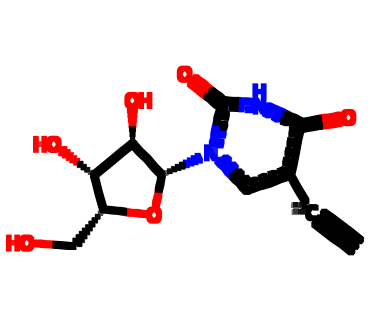 C#[13C]c1cn([C@@H]2O[C@H](CO)[C@H](O)[C@@H]2O)c(=O)[nH]c1=O